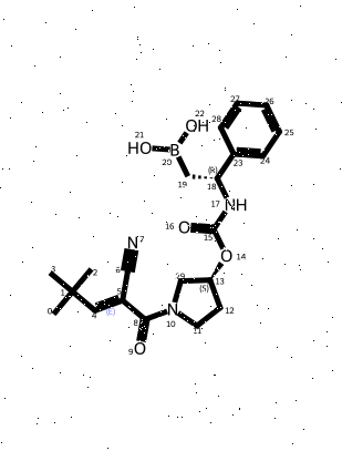 CC(C)(C)/C=C(\C#N)C(=O)N1CC[C@H](OC(=O)N[C@H](CB(O)O)c2ccccc2)C1